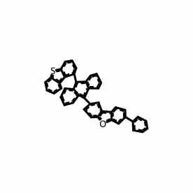 c1ccc(-c2ccc3c(c2)oc2ccc(-c4c5ccccc5c(-c5cccc6sc7ccccc7c56)c5ccccc45)cc23)cc1